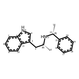 C[C@H](Cc1c[nH]c2ccccc12)N[C@H](C)c1ccccc1